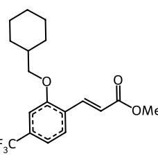 COC(=O)C=Cc1ccc(C(F)(F)F)cc1OCC1CCCCC1